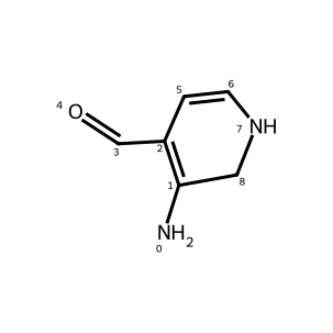 NC1=C(C=O)C=CNC1